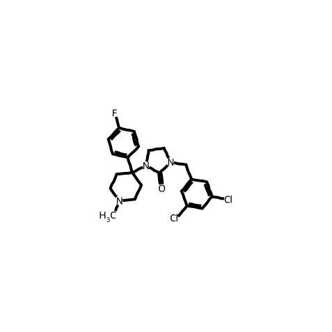 CN1CCC(c2ccc(F)cc2)(N2CCN(Cc3cc(Cl)cc(Cl)c3)C2=O)CC1